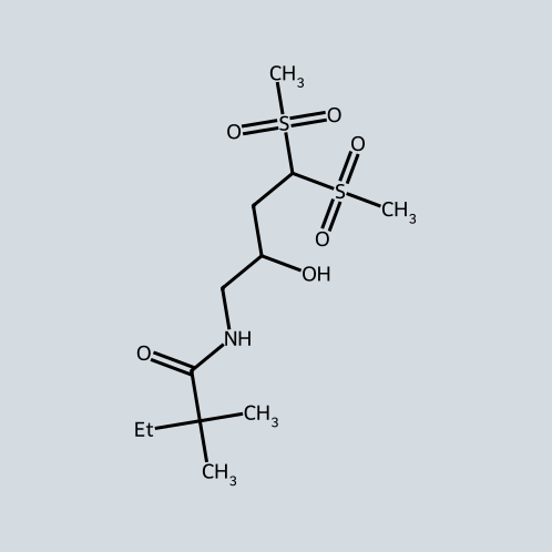 CCC(C)(C)C(=O)NCC(O)CC(S(C)(=O)=O)S(C)(=O)=O